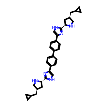 c1cc(-c2c[nH]c([C@@H]3C[C@@H](CC4CC4)CN3)n2)ccc1-c1ccc(-c2c[nH]c([C@@H]3C[C@@H](CC4CC4)CN3)n2)cc1